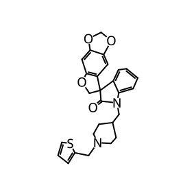 O=C1N(CC2CCN(Cc3cccs3)CC2)c2ccccc2C12COc1cc3c(cc12)OCO3